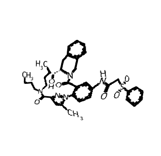 CCCCN(CCCC)C(=O)c1cc(C)n(-c2ccc(NC(=O)CS(=O)(=O)c3ccccc3)cc2C(=O)N2Cc3ccccc3C[C@H]2CO)n1